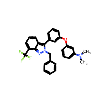 CN(C)c1cccc(Oc2cccc(-c3c4cccc(C(F)(F)F)c4nn3Cc3ccccc3)c2)c1